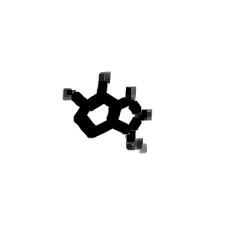 CN1NNc2c1ccc(Br)c2Cl